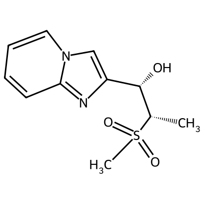 C[C@@H]([C@@H](O)c1cn2ccccc2n1)S(C)(=O)=O